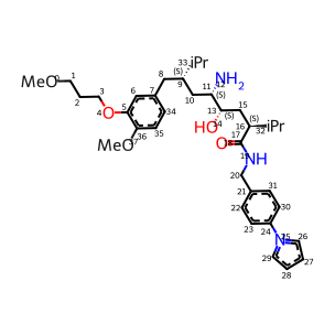 COCCCOc1cc(C[C@@H](C[C@H](N)[C@@H](O)C[C@H](C(=O)NCc2ccc(-n3cccc3)cc2)C(C)C)C(C)C)ccc1OC